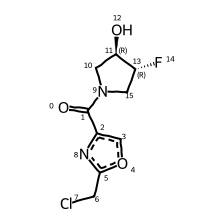 O=C(c1coc(CCl)n1)N1C[C@@H](O)[C@H](F)C1